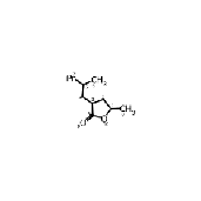 CC1CC(CC(C)C(C)C)C(=O)O1